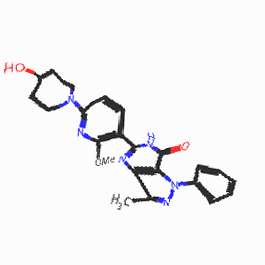 COc1nc(N2CCC(O)CC2)ccc1-c1nc2c(C)nn(-c3ccccc3)c2c(=O)[nH]1